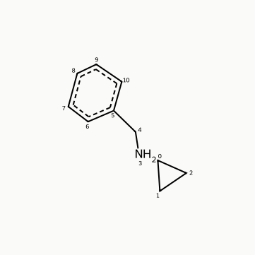 C1CC1.NCc1ccccc1